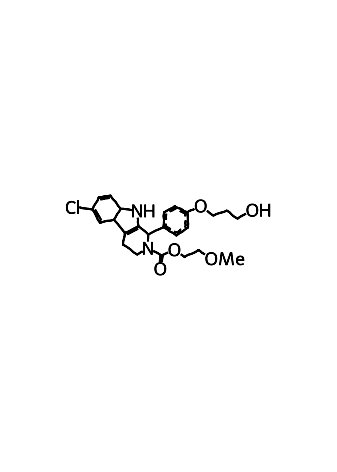 COCCOC(=O)N1CCC2=C(NC3C=CC(Cl)=CC23)C1c1ccc(OCCCO)cc1